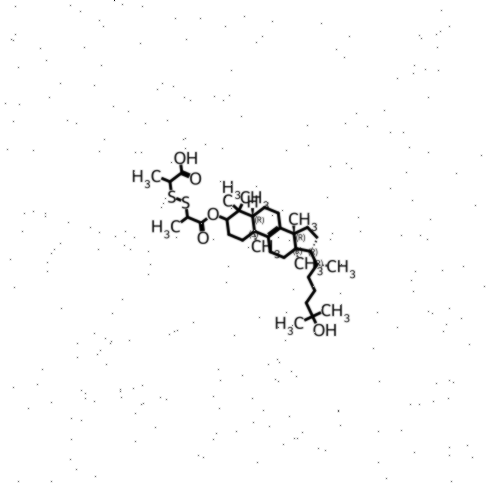 CC(SSC(C)C(=O)OC1CC[C@]2(C)C3=C(CC[C@H]2C1(C)C)[C@]1(C)CC[C@H]([C@H](C)CCCC(C)(C)O)[C@@]1(C)CC3)C(=O)O